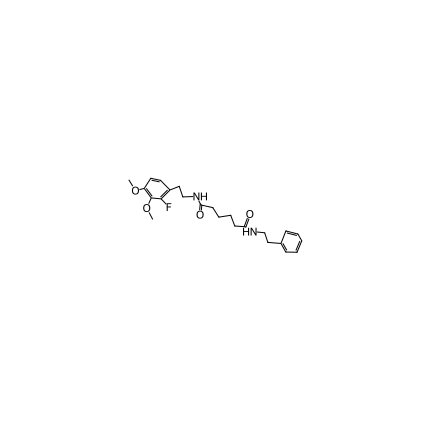 COc1ccc(CCNC(=O)CCCCC(=O)NCCc2ccccc2)c(F)c1OC